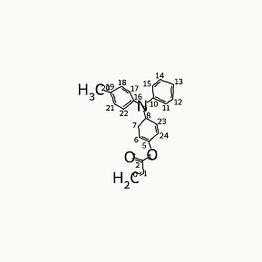 C=CC(=O)OC1=CCC(N(c2ccccc2)c2ccc(C)cc2)C=C1